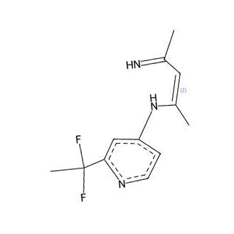 CC(=N)/C=C(/C)Nc1ccnc(C(C)(F)F)c1